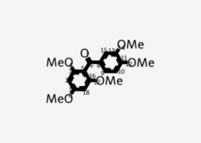 COc1cc(OC)c(C(=O)c2ccc(OC)c(OC)c2)c(OC)c1